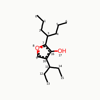 CCCC(CCC)c1occ(C(CC)CC)c1O